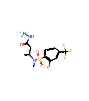 CC(CC(=O)NN)N(C)S(=O)(=O)c1ccc(C(F)(F)F)cc1Cl